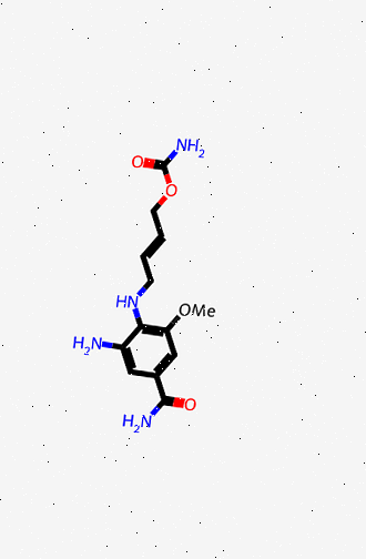 COc1cc(C(N)=O)cc(N)c1NC/C=C/COC(N)=O